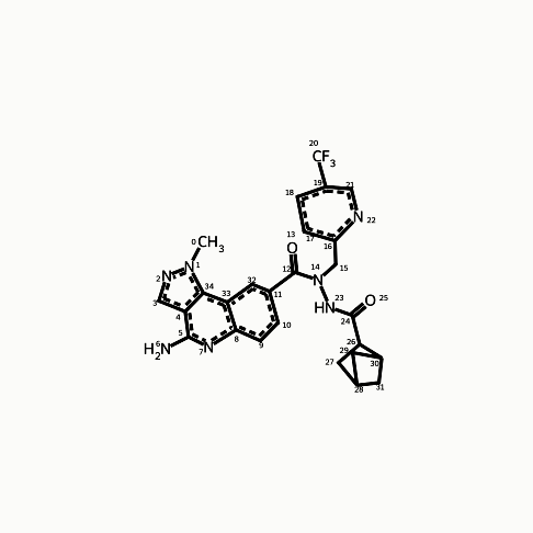 Cn1ncc2c(N)nc3ccc(C(=O)N(Cc4ccc(C(F)(F)F)cn4)NC(=O)C4CC5CC4C5)cc3c21